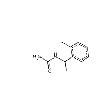 Cc1ccccc1C(C)NC(N)=O